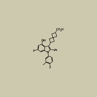 Cc1cc(-n2c(C(C)C)c(C3CC4(CC(C(=O)O)C4)C3)c3c(O)cc(F)cc32)ccc1F